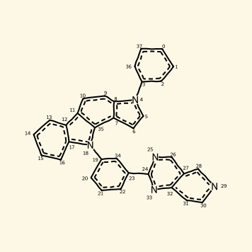 c1ccc(-n2ccc3c2ccc2c4ccccc4n(-c4cccc(-c5ncc6cnccc6n5)c4)c23)cc1